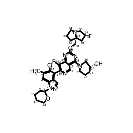 Cc1cc2c(cnn2C2CCCCO2)c(-c2ncc3c(N4CCC[C@@H](O)C4)nc(OC[C@@]45CCCN4C[C@H](F)C5)nc3c2F)c1Cl